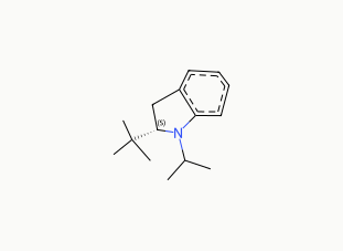 CC(C)N1c2ccccc2C[C@H]1C(C)(C)C